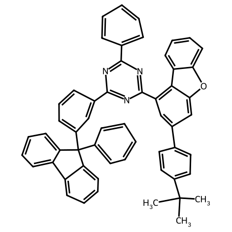 CC(C)(C)c1ccc(-c2cc(-c3nc(-c4ccccc4)nc(-c4cccc(C5(c6ccccc6)c6ccccc6-c6ccccc65)c4)n3)c3c(c2)oc2ccccc23)cc1